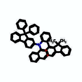 CC1(C)c2ccccc2-c2cccc(-c3ccccc3N(c3ccc4c(c3)C(c3ccccc3)(c3ccccc3)c3ccccc3-4)c3cccc4ccccc34)c21